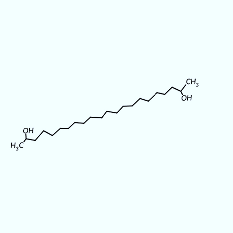 CC(O)CCCCCCCCCCCCCCCCCCC(C)O